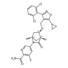 NC(=O)c1ncc(N2C(=O)[C@@H]3C[C@H]2C[C@H]3OCc2c(-c3c(Cl)cccc3Cl)noc2C2CC2)cc1F